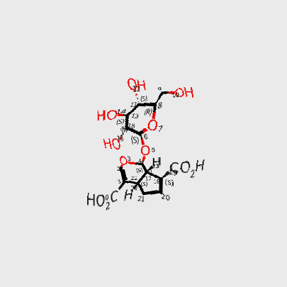 O=C(O)C1=CO[C@@H](O[C@@H]2O[C@H](CO)[C@@H](O)[C@H](O)[C@H]2O)[C@@H]2[C@@H](C(=O)O)CC[C@H]12